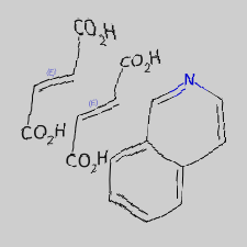 O=C(O)/C=C/C(=O)O.O=C(O)/C=C/C(=O)O.c1ccc2cnccc2c1